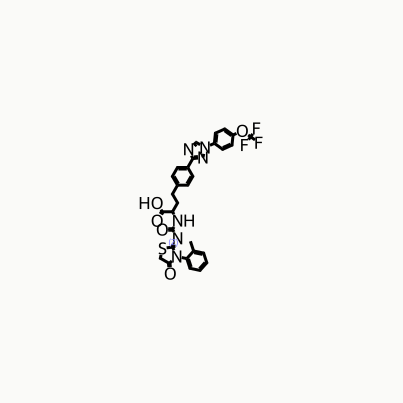 Cc1ccccc1N1C(=O)CS/C1=N\C(=O)NC(CCc1ccc(-c2ncn(-c3ccc(OC(F)(F)F)cc3)n2)cc1)C(=O)O